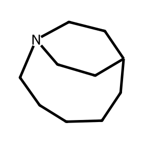 C1CCC2CCN(CC1)CC2